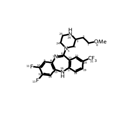 COCCC1CN(C2=Nc3cc(F)c(F)cc3Nc3ccc(C(F)(F)F)cc32)CCN1